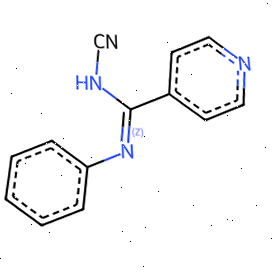 N#CN/C(=N\c1ccccc1)c1ccncc1